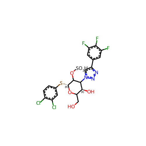 O=S(=O)(O)OC1C(n2cc(-c3cc(F)c(F)c(F)c3)nn2)[C@@H](O)C(CO)O[C@@H]1Sc1ccc(Cl)c(Cl)c1